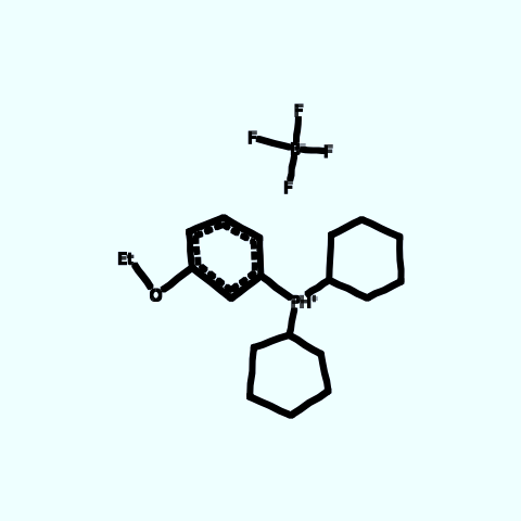 CCOc1cccc([PH+](C2CCCCC2)C2CCCCC2)c1.F[B-](F)(F)F